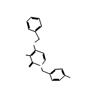 O=c1c(Br)c(OCc2ccccc2)ccn1Cc1ccc(C(F)(F)F)cc1